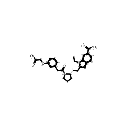 CCn1c(CC[C@@H]2CCCN2C(=O)Cc2cccc(OCC(N)=O)c2)cc2ccc(C(=N)N)cc21